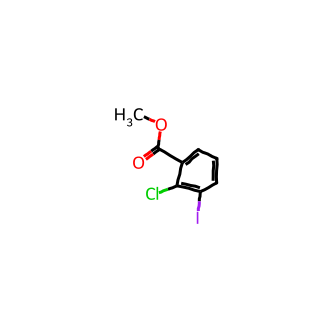 COC(=O)c1cccc(I)c1Cl